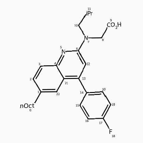 CCCCCCCCc1ccc2nc(N(CC(=O)O)CC(C)C)cc(-c3ccc(F)cc3)c2c1